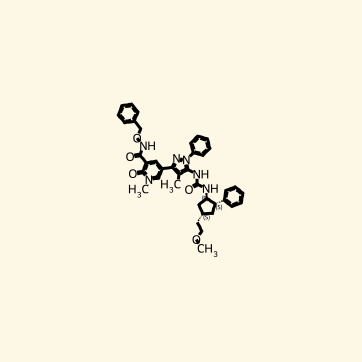 COCC[C@@H]1C[C@@H](NC(=O)Nc2c(C)c(-c3cc(C(=O)NOCc4ccccc4)c(=O)n(C)c3)nn2-c2ccccc2)[C@H](c2ccccc2)C1